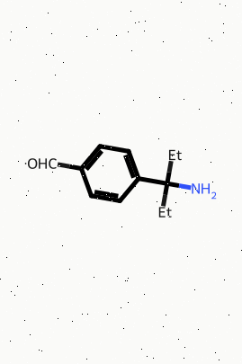 CCC(N)(CC)c1ccc([C]=O)cc1